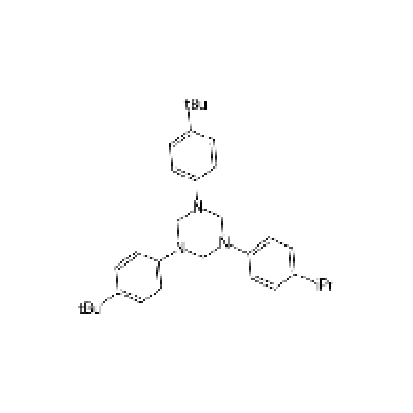 CC(C)c1ccc(N2CN(c3ccc(C(C)(C)C)cc3)CN(c3ccc(C(C)(C)C)cc3)C2)cc1